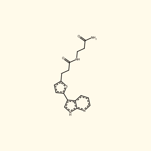 NC(=O)CCNC(=O)C[CH]c1ccc(-c2c[nH]c3ncccc23)s1